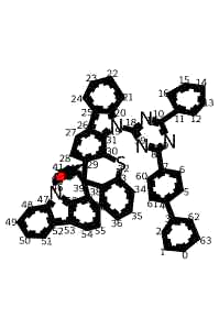 c1ccc(-c2ccc(-c3nc(-c4ccccc4)nc(-n4c5ccccc5c5ccc6c(c54)Sc4ccccc4C64c5ccccc5-n5c6ccccc6c6cccc4c65)n3)cc2)cc1